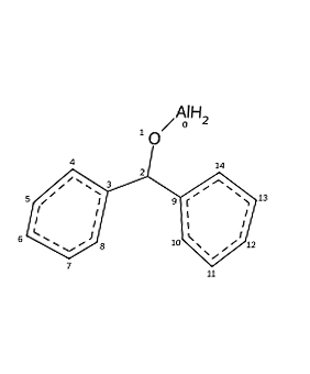 [AlH2][O]C(c1ccccc1)c1ccccc1